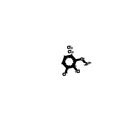 Clc1cccc([O][Zr+2])c1Cl.[Cl-].[Cl-]